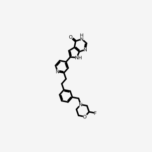 O=c1[nH]cnc2[nH]c(-c3ccnc(CCc4cccc(CN5CCOC(F)C5)c4)c3)cc12